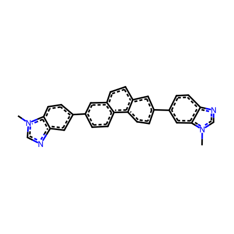 Cn1cnc2cc(-c3ccc4c(ccc5cc(-c6ccc7ncn(C)c7c6)ccc54)c3)ccc21